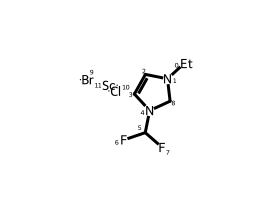 CCN1C=CN(C(F)F)C1.[Br].[Cl].[Sc]